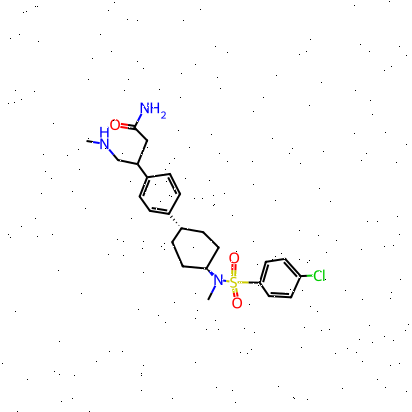 CNCC(CC(N)=O)c1ccc([C@H]2CC[C@H](N(C)S(=O)(=O)c3ccc(Cl)cc3)CC2)cc1